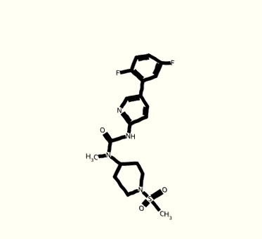 CN(C(=O)Nc1ccc(-c2cc(F)ccc2F)cn1)C1CCN(S(C)(=O)=O)CC1